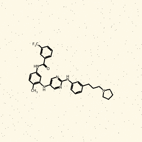 Cc1ccc(NC(=O)c2cccc(C(F)(F)F)c2)cc1Nc1cnc(Nc2cccc(CCCN3CCCC3)c2)nc1